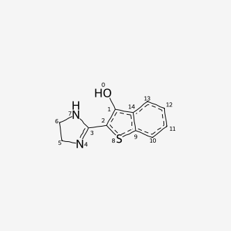 Oc1c(C2=NCCN2)sc2ccccc12